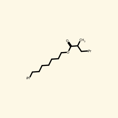 CC(C)CCCCCCCOC(=O)C(C)CC(C)C